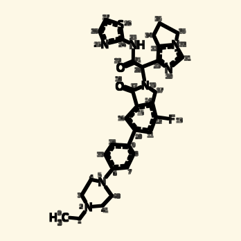 CCN1CCN(c2ccc(-c3cc(F)c4c(c3)C(=O)N(C(C(=O)Nc3nccs3)c3ncn5c3CCC5)C4)cc2)CC1